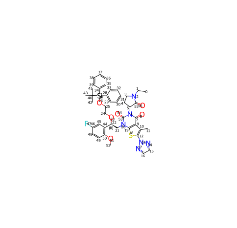 CCN1CCC(n2c(=O)c3c(C)c(-n4nccn4)sc3n(C[C@H](OCCO[Si](c3ccccc3)(c3ccccc3)C(C)(C)C)c3cc(F)ccc3OC)c2=O)C1=O